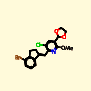 COc1nc(C=C2CCc3c(Br)cccc32)c(Cl)cc1C1OCCO1